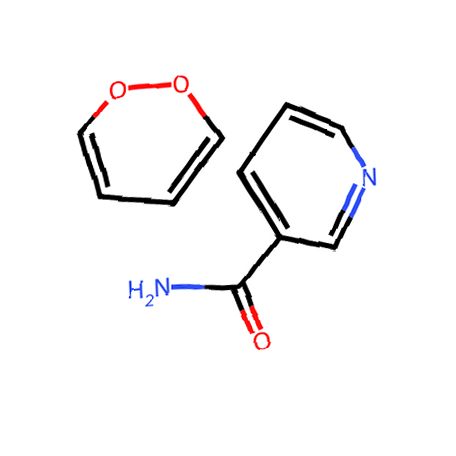 C1=COOC=C1.NC(=O)c1cccnc1